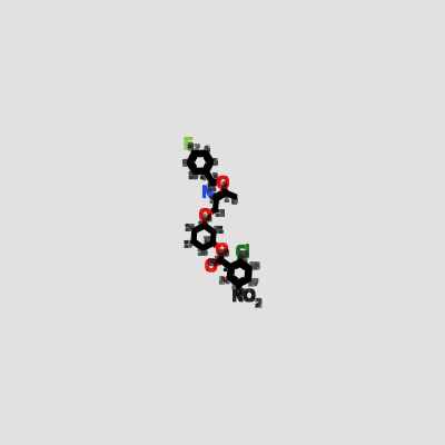 Cc1oc(-c2ccc(F)cc2)nc1COC1CCCC(OC(=O)c2cc([N+](=O)[O-])ccc2Cl)C1